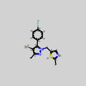 Cc1ncc(Cn2nc(C)c(Br)c2-c2ccc(F)cc2)s1